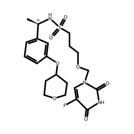 C[C@@H](NS(=O)(=O)CCCOCn1cc(F)c(=O)[nH]c1=O)c1cccc(OC2CCOCC2)c1